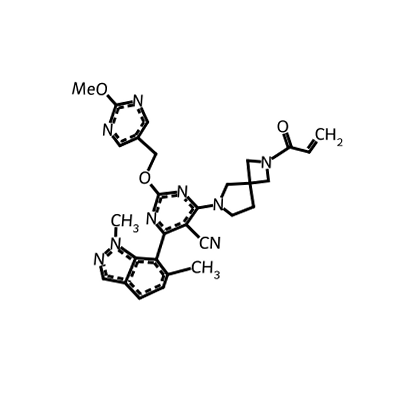 C=CC(=O)N1CC2(CCN(c3nc(OCc4cnc(OC)nc4)nc(-c4c(C)ccc5cnn(C)c45)c3C#N)C2)C1